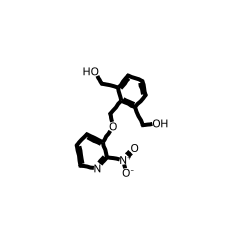 O=[N+]([O-])c1ncccc1OCc1c(CO)cccc1CO